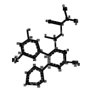 CCN(CC)C(=O)CN(C)c1nc(N)nc(-c2ccccc2)c1-c1cc(C)nc(C(F)(F)F)c1